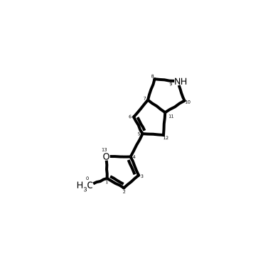 Cc1ccc(C2=CC3CNCC3C2)o1